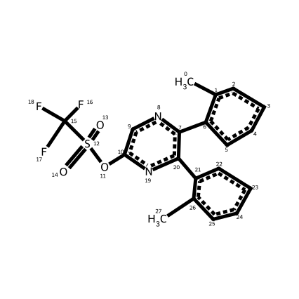 Cc1ccccc1-c1ncc(OS(=O)(=O)C(F)(F)F)nc1-c1ccccc1C